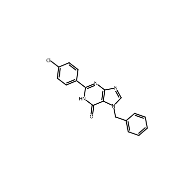 O=c1[nH]c(-c2ccc(Cl)cc2)nc2ncn(Cc3ccccc3)c12